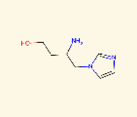 NC(CCO)Cn1ccnc1